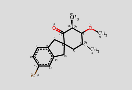 COC1[C@H](C)CC2(Cc3ccc(Br)cc3C2)C(=O)[C@H]1C